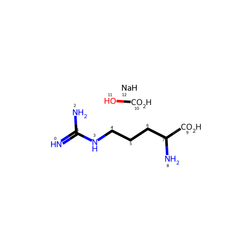 N=C(N)NCCCC(N)C(=O)O.O=C(O)O.[NaH]